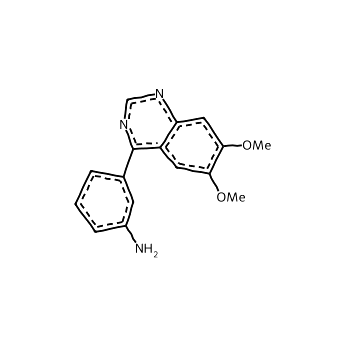 COc1cc2ncnc(-c3cccc(N)c3)c2cc1OC